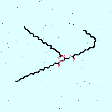 CCCCC/C=C\C/C=C\CCCCCCCC(=O)OCC(COC(=O)CCCCCCCCCCCCCCCCC)OC(=O)CCCCCCCCCCCCCCCCC